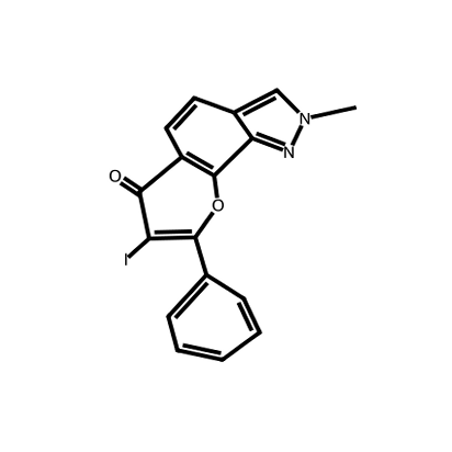 Cn1cc2ccc3c(=O)c(I)c(-c4ccccc4)oc3c2n1